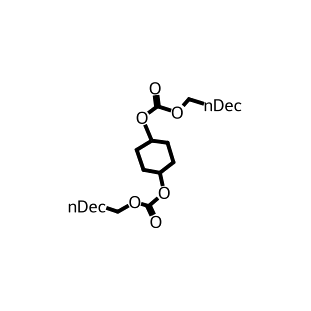 CCCCCCCCCCCOC(=O)OC1CCC(OC(=O)OCCCCCCCCCCC)CC1